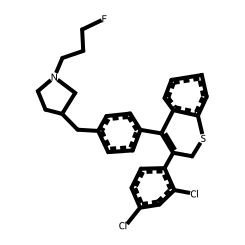 FCCCN1CCC(Cc2ccc(C3=C(c4ccc(Cl)cc4Cl)CSc4ccccc43)cc2)C1